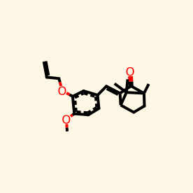 C=CCOc1cc(C=C2C(=O)C3(C)CCC2C3(C)C)ccc1OC